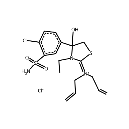 C=CC[N+](CC=C)=C1SCC(O)(c2ccc(Cl)c(S(N)(=O)=O)c2)N1CC.[Cl-]